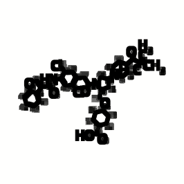 CC(C)(C)C(=O)C1CCN([C@H]2C[C@@H](CO[C@H]3CC[C@H](C(=O)O)CC3)N(C(=O)Cc3cc(Cl)c(NC(=O)c4coc5ccccc45)cc3Cl)C2)CC1